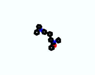 c1ccc(-n2c3cc(-c4cccc(-c5ccc(-n6c7ccccc7c7ccccc76)cc5)c4)ccc3c3c4ccccc4oc32)cc1